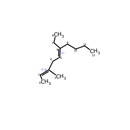 C/C=C(\C)C/C=C(\CC)CCCC